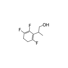 CC(CO)C1=C(F)CCC(F)=C1F